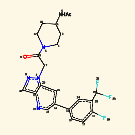 CC(=O)NC1CCN(C(=O)Cn2ncc3ncc(-c4ccc(F)c(C(F)F)c4)cc32)CC1